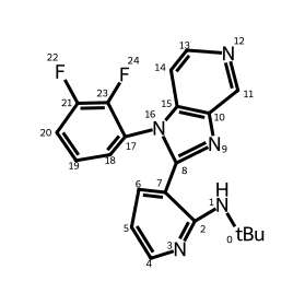 CC(C)(C)Nc1ncccc1-c1nc2cnccc2n1-c1cccc(F)c1F